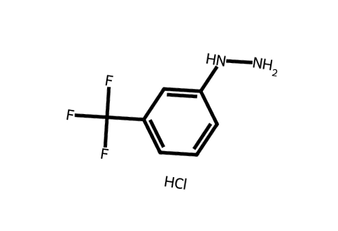 Cl.NNc1cccc(C(F)(F)F)c1